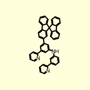 c1ccc(-c2cccc(Nc3cc(-c4ccc5c(c4)C4(c6ccccc6-c6ccccc64)c4ccccc4-5)cc(-c4ccccn4)c3)c2)nc1